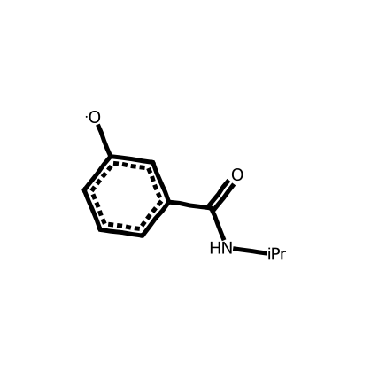 CC(C)NC(=O)c1cccc([O])c1